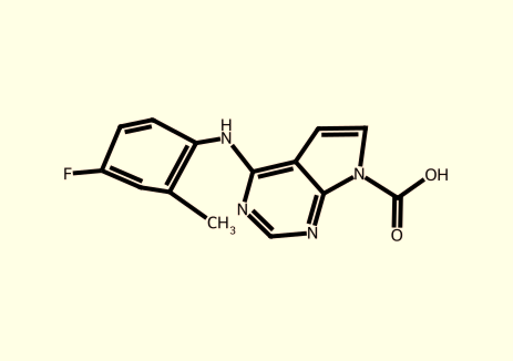 Cc1cc(F)ccc1Nc1ncnc2c1ccn2C(=O)O